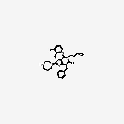 O=c1c2c(nc(N3CCCNCC3)n2Cc2ccccc2I)n(Cc2ccccc2)c(=O)n1CCCO